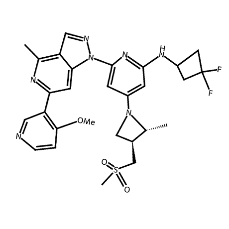 COc1ccncc1-c1cc2c(cnn2-c2cc(N3C[C@H](CS(C)(=O)=O)[C@H]3C)cc(NC3CC(F)(F)C3)n2)c(C)n1